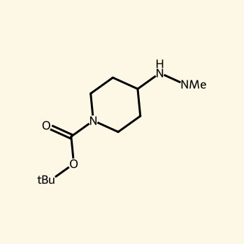 CNNC1CCN(C(=O)OC(C)(C)C)CC1